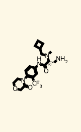 CN(CC1CCC1)[C@H](CN)C(=O)Nc1ccc(N2CCOCC2=O)c(C(F)(F)F)c1